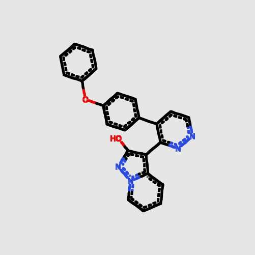 Oc1nn2ccccc2c1-c1nnccc1-c1ccc(Oc2ccccc2)cc1